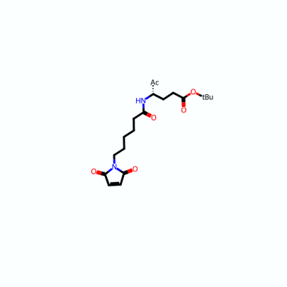 CC(=O)[C@H](CCC(=O)OC(C)(C)C)NC(=O)CCCCCN1C(=O)C=CC1=O